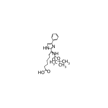 CC(C)(C)OC(=O)N[C@@H](CCCCCC(=O)O)c1nc(-c2ccccc2)c[nH]1